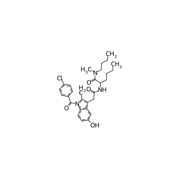 CCCCC(NC(=O)Cc1c(C)n(C(=O)c2ccc(Cl)cc2)c2ccc(O)cc12)C(=O)N(C)CCCC